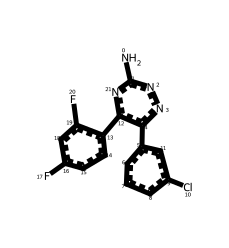 Nc1nnc(-c2cccc(Cl)c2)c(-c2ccc(F)cc2F)n1